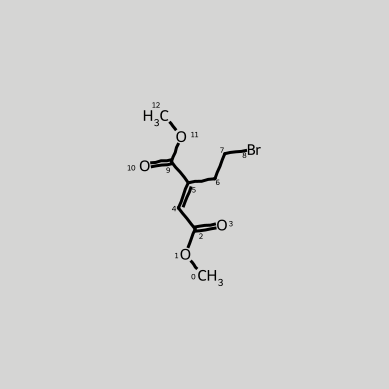 COC(=O)/C=C(\CCBr)C(=O)OC